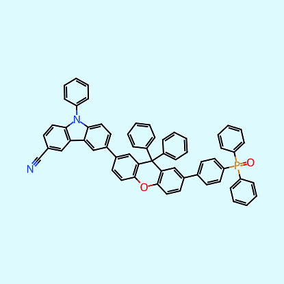 N#Cc1ccc2c(c1)c1cc(-c3ccc4c(c3)C(c3ccccc3)(c3ccccc3)c3cc(-c5ccc(P(=O)(c6ccccc6)c6ccccc6)cc5)ccc3O4)ccc1n2-c1ccccc1